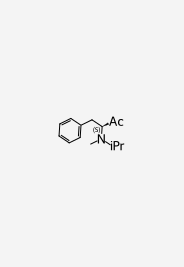 CC(=O)[C@H](Cc1ccccc1)N(C)C(C)C